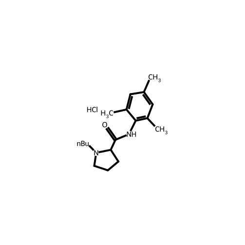 CCCCN1CCCC1C(=O)Nc1c(C)cc(C)cc1C.Cl